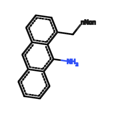 CCCCCCCCCCc1cccc2cc3ccccc3c(N)c12